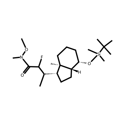 CON(C)C(=O)C(F)C(C)[C@H]1CC[C@H]2[C@@H](O[Si](C)(C)C(C)(C)C)CCC[C@]12C